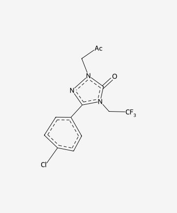 CC(=O)Cn1nc(-c2ccc(Cl)cc2)n(CC(F)(F)F)c1=O